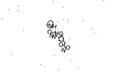 CN(C)C(=O)c1cc2cc(O)c(-c3ccc(O[C@H]4C[C@]5(C)CCC[C@](C)(C4)N5)nn3)cc2o1